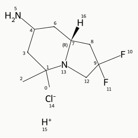 CC1(C)CC(N)C[C@@H]2CC(F)(F)CN21.[Cl-].[H+]